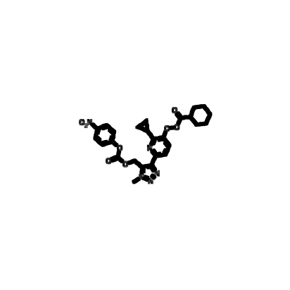 Cn1nnc(-c2ccc(OOC(=O)C3CCCCC3)c(C3CC3)n2)c1COC(=O)Oc1ccc([N+](=O)[O-])cc1